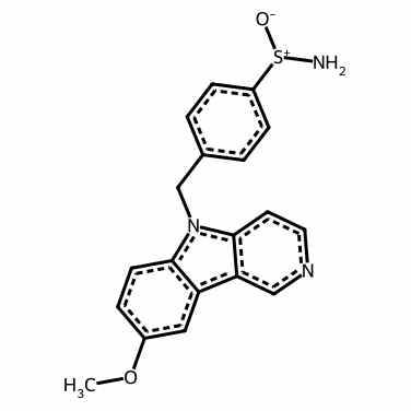 COc1ccc2c(c1)c1cnccc1n2Cc1ccc([S+](N)[O-])cc1